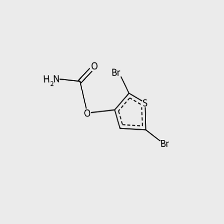 NC(=O)Oc1cc(Br)sc1Br